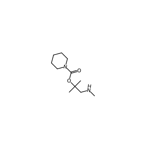 CNCC(C)(C)OC(=O)N1CCCCC1